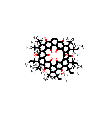 CCC(C)(C)c1c(C(C)(C)C)c2c(=O)c3ccc4c(=O)c5c(C(C)(C)C)c(C(C)(C)C)c6c(=O)c7c(C(C)(C)CC)c(C(C)(C)C)c8c(=O)c9c(C(C)(C)C)c(C(C)(C)CC)c%10c(=O)c%11c(C(C)(C)CC)c(C(C)(C)CC)c%12c(=O)c1c1c(=O)c%12c%11c(=O)c%10c9c(=O)c8c7c(=O)c6c5c(=O)c4c3c(=O)c21